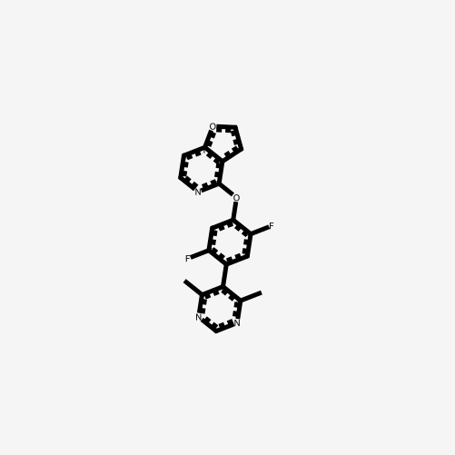 Cc1ncnc(C)c1-c1cc(F)c(Oc2nccc3occc23)cc1F